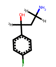 [2H]C([2H])(N)CC([2H])(O)c1ccc(F)cc1